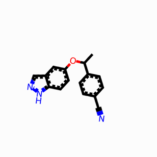 CC(Oc1ccc2[nH]ncc2c1)c1ccc(C#N)cc1